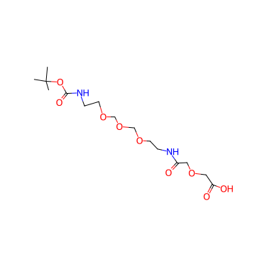 CC(C)(C)OC(=O)NCCOCOCOCCNC(=O)COCC(=O)O